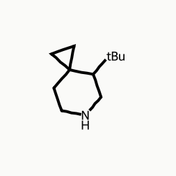 CC(C)(C)C1CNCCC12CC2